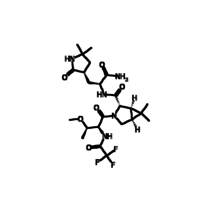 CO[C@H](C)[C@H](NC(=O)C(F)(F)F)C(=O)N1C[C@H]2[C@@H]([C@H]1C(=O)N[C@@H](C[C@@H]1CC(C)(C)NC1=O)C(N)=O)C2(C)C